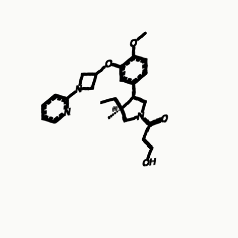 CC[C@]1(C)CN(C(=O)CCO)CC1c1ccc(OC)c(OC2CN(c3ccccn3)C2)c1